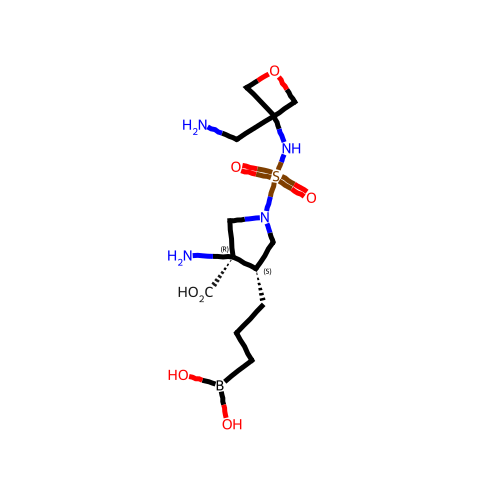 NCC1(NS(=O)(=O)N2C[C@H](CCCB(O)O)[C@](N)(C(=O)O)C2)COC1